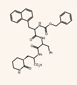 CC(C)CC(NC(=O)C(Cc1cccc2ccccc12)NC(=O)OCc1ccccc1)C(=O)NC(C[C@@H]1CCCNC1=O)C(=O)O